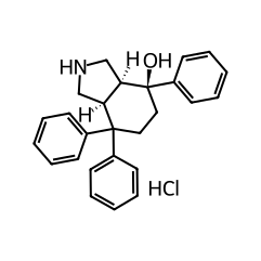 Cl.O[C@@]1(c2ccccc2)CCC(c2ccccc2)(c2ccccc2)[C@H]2CNC[C@H]21